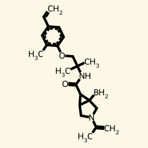 BC12CN(C(=C)C)CC1C2C(=O)NC(C)(C)COc1ccc(C=C)cc1C